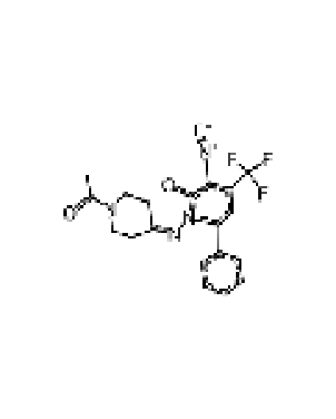 [C-]#[N+]c1c(C(F)(F)F)cc(-c2ccccc2)n(N=C2CCN(C(C)=O)CC2)c1=O